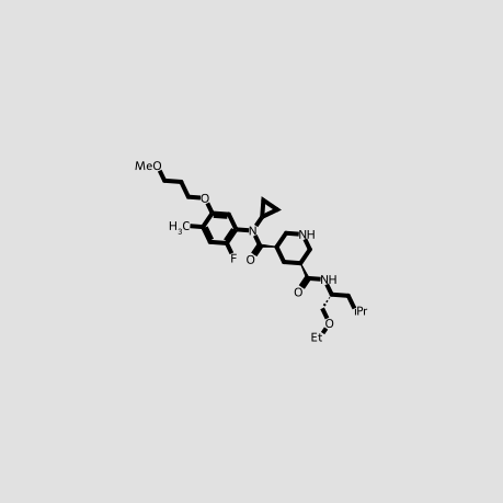 CCOC[C@@H](CC(C)C)NC(=O)[C@@H]1CNC[C@H](C(=O)N(c2cc(OCCCOC)c(C)cc2F)C2CC2)C1